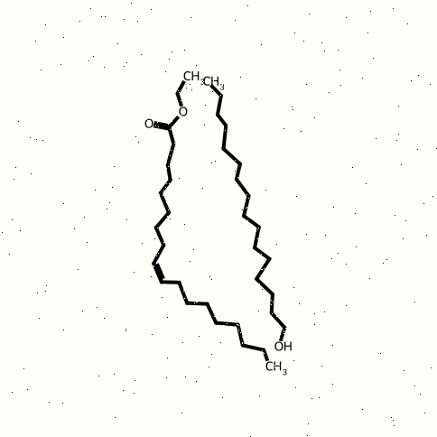 CCCCCCCC/C=C\CCCCCCCC(=O)OCC.CCCCCCCCCCCCCCCCO